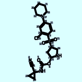 N#CC1(NC(=O)O[C@H]2C[C@@H](S(=O)(=O)c3ccc(N4CCCCC4)cc3Cl)CN2)CC1